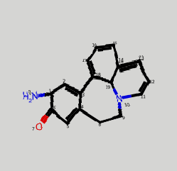 NC1C=C2C(=CC1=O)CCN1C=CC=C3C=CC=C2C31